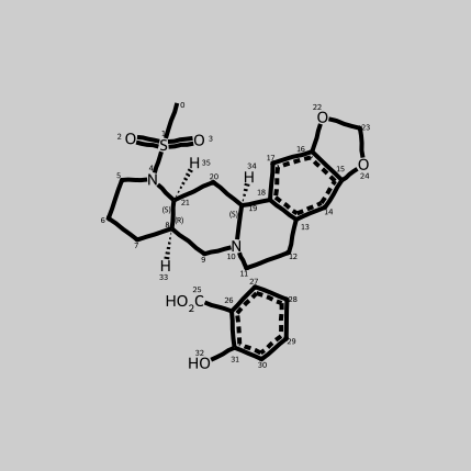 CS(=O)(=O)N1CCC[C@@H]2CN3CCc4cc5c(cc4[C@@H]3C[C@@H]21)OCO5.O=C(O)c1ccccc1O